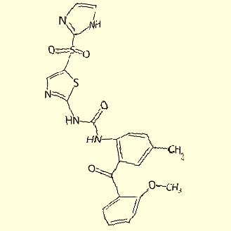 COc1ccccc1C(=O)c1cc(C)ccc1NC(=O)Nc1ncc(S(=O)(=O)c2ncc[nH]2)s1